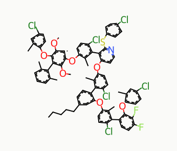 CCCCCc1ccc(-c2c(Cl)ccc(Oc3ccnc(Sc4ccc(Cl)cc4)c3-c3c(Cl)ccc(Oc4[c]c(OC)c(Oc5ccc(Cl)cc5C)c(-c5c(C)cccc5C)c4OC)c3C)c2C)c(Oc2ccc(Cl)c(-c3ccc(F)c(F)c3Oc3ccc(Cl)cc3C)c2C)c1